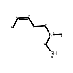 C/C=C\CCN(C)CS